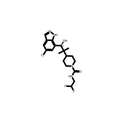 CC(C)(C1CCN(C(=O)NCC(F)F)CC1)[C@H](O)c1cc(Cl)cc2cn[nH]c12